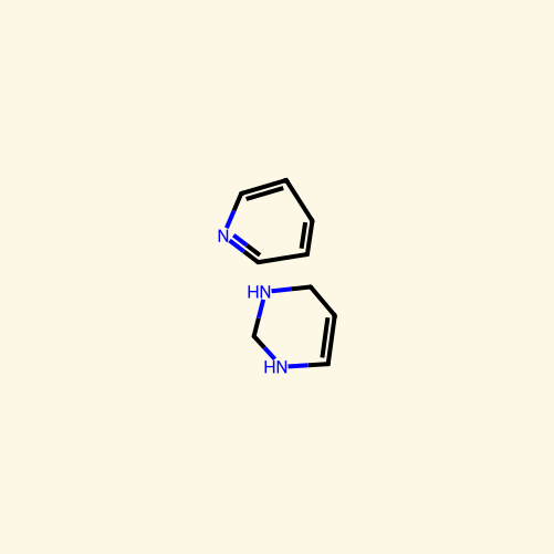 C1=CNCNC1.c1ccncc1